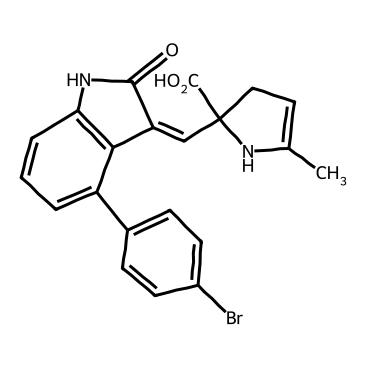 CC1=CCC(C=C2C(=O)Nc3cccc(-c4ccc(Br)cc4)c32)(C(=O)O)N1